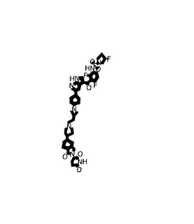 O=C1CCC(N2Cc3cc(C4CCN(CCC5CN(c6ccc(-c7cnc8[nH]cc(C(=O)c9c(F)ccc(NS(=O)(=O)N%10CC[C@@H](F)C%10)c9F)c8c7)cc6)C5)CC4)ccc3C2=O)C(=O)N1